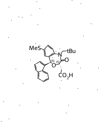 CSc1ccc2c(c1)[C@H](c1cccc3ccccc13)O[C@@H](CC(=O)O)C(=O)N2CC(C)(C)C